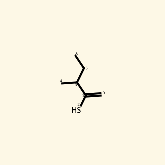 C=C(S)C(C)CC